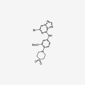 COc1cc(Nc2nc(Br)cn3ncnc23)ccc1N1CCS(=O)(=O)CC1